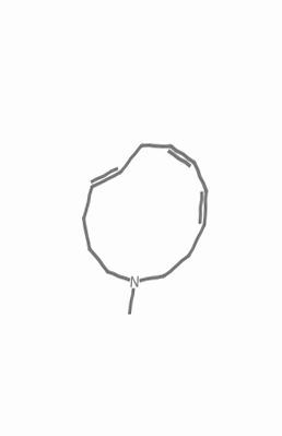 CN1CC/C=C\C=C/C/C=C/CCC1